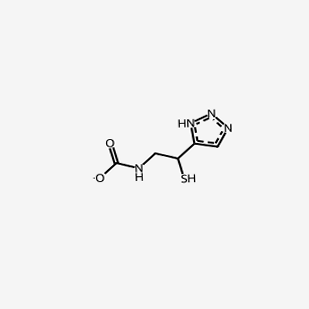 [O]C(=O)NCC(S)c1cnn[nH]1